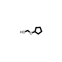 OCO[C]1CCCC1